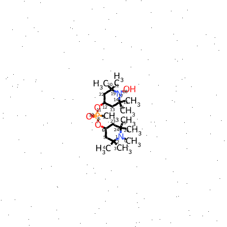 CN1C(C)(C)CC(OP(C)(=O)OC2CC(C)(C)N(O)C(C)(C)C2)CC1(C)C